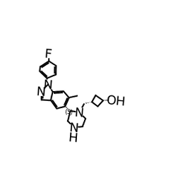 Cc1cc2c(cnn2-c2ccc(F)cc2)cc1[C@H]1CNCCN1C[C@H]1C[C@@H](O)C1